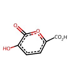 O=C(O)c1ccc(O)c(=O)o1